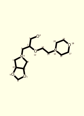 [O]CC(CN1CC2OCOC2C1)OCCN1CCOCC1